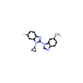 Cc1ccc2ncn(-c3nc4ccc(F)cc4n3C3CC3)c2c1